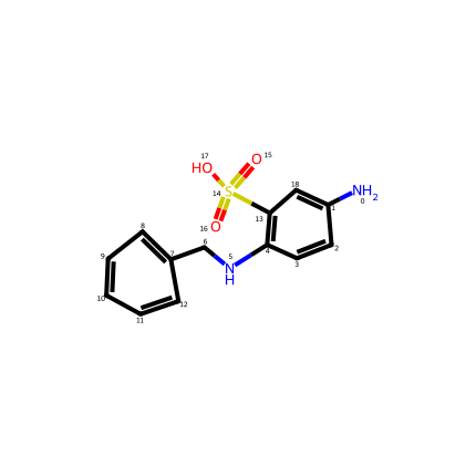 Nc1ccc(NCc2ccccc2)c(S(=O)(=O)O)c1